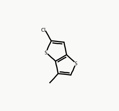 Cc1csc2cc(Cl)sc12